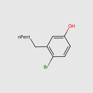 CCCCCCc1cc(O)ccc1Br